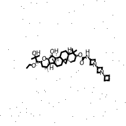 CCO[C@@H](C1C[C@@H](C)[C@H]2C(O1)[C@H](O)[C@@]1(C)C3CC[C@H]4C(C)(C)[C@@H](OC(=O)NC5CN(C6CN(C7CCC7)C6)C5)CC[C@@]45C[C@@]35CC[C@]21C)C(C)(C)O